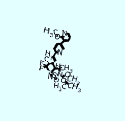 COc1ncccc1-c1ccc(/C=C/[C@@H]2[C@@H]3[C@@H](C)N(C(=O)OC(C)(C)C)S4(=O)=N[C@@]34CC(F)(F)[C@H]2C)nc1